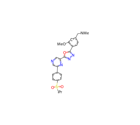 CNCc1ccc(-c2nnc(-c3cncc(-c4ccc(S(=O)(=O)C(C)C)cc4)n3)o2)c(OC)c1